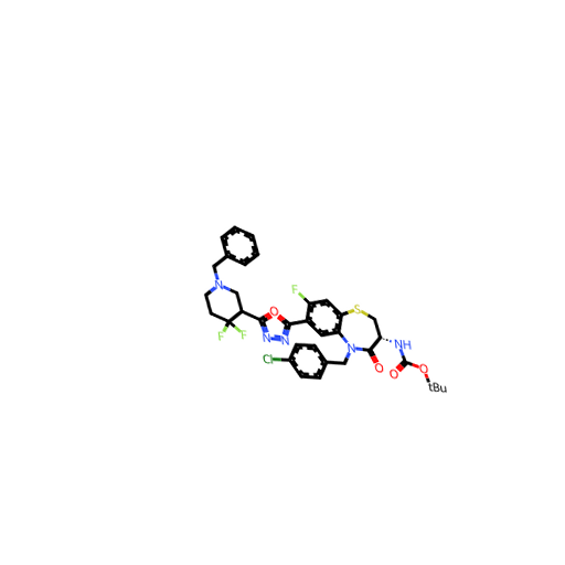 CC(C)(C)OC(=O)N[C@H]1CSc2cc(F)c(-c3nnc(C4CN(Cc5ccccc5)CCC4(F)F)o3)cc2N(Cc2ccc(Cl)cc2)C1=O